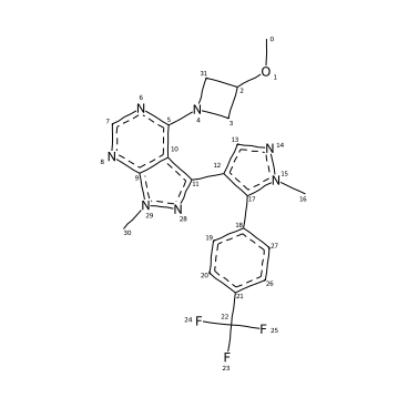 COC1CN(c2ncnc3c2c(-c2cnn(C)c2-c2ccc(C(F)(F)F)cc2)nn3C)C1